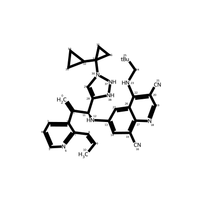 C=C(c1cccnc1/C=C\C)[C@H](Nc1cc(C#N)c2ncc(C#N)c(NCC(C)(C)C)c2c1)C1=CN(C2(C3CC3)CC2)NN1